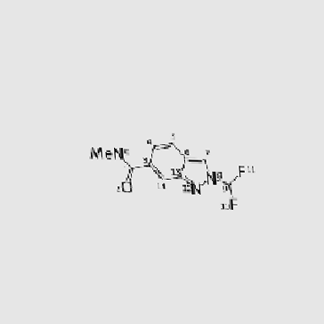 CNC(=O)c1ccc2cn(C(F)F)nc2c1